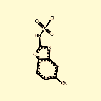 CC(C)(C)c1ccc2oc(NS(C)(=O)=O)nc2c1